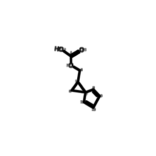 O=C(O)OCC1CC12C=CC=C2